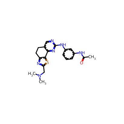 CC(=O)Nc1cccc(Nc2ncc3c(n2)-c2sc(CN(C)C)nc2CC3)c1